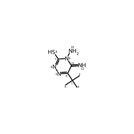 CC(C)(C)c1nnc(S)n(N)c1=N